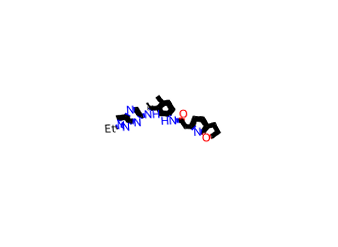 CCn1cc2ncc(N[C@@H](C)c3cc(NC(=O)Cc4ccc5c(n4)OCCC5)ccc3C)nc2n1